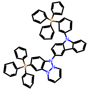 C1=CN2c3cc(S(c4ccccc4)(c4ccccc4)c4ccccc4)ccc3N(c3ccc4c(c3)c3ccccc3n4-c3cccc(S(c4ccccc4)(c4ccccc4)c4ccccc4)c3)N2C=C1